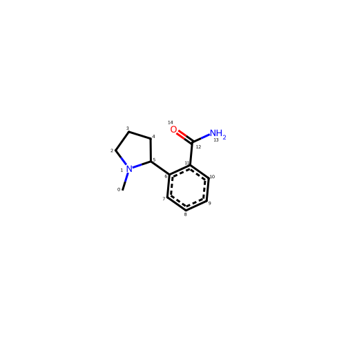 CN1CCCC1c1ccccc1C(N)=O